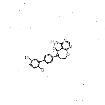 Nc1ncnc2c1C(=O)N(c1ccc(-c3cc(Cl)ccc3Cl)cc1)CCO2